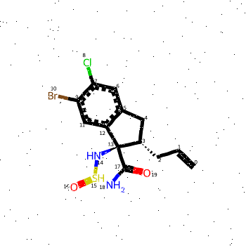 C=CC[C@H]1Cc2cc(Cl)c(Br)cc2[C@@]1(N[SH]=O)C(N)=O